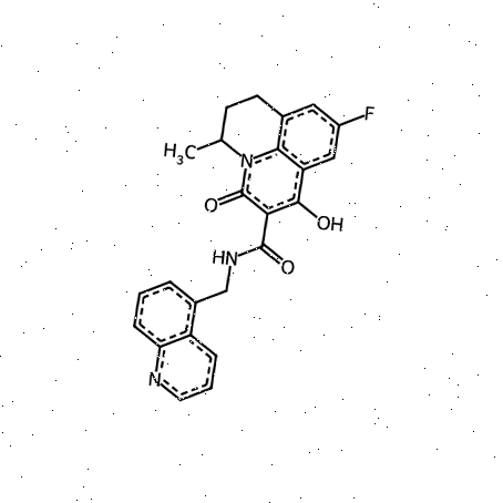 CC1CCc2cc(F)cc3c(O)c(C(=O)NCc4cccc5ncccc45)c(=O)n1c23